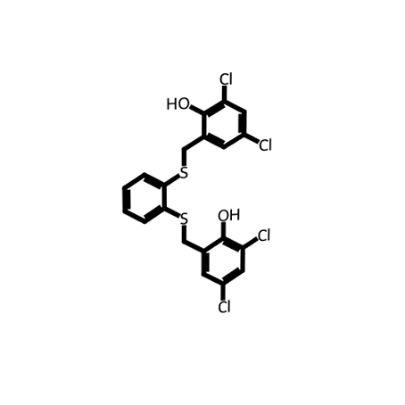 Oc1c(Cl)cc(Cl)cc1CSc1ccccc1SCc1cc(Cl)cc(Cl)c1O